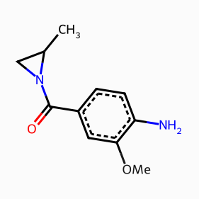 COc1cc(C(=O)N2CC2C)ccc1N